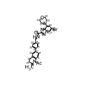 CC(=O)N1c2ccc(-c3ccc(CNC(=O)c4nc5c(N6CCOCC6)cc(Br)cn5n4)cc3)cc2CC[C@@H]1C